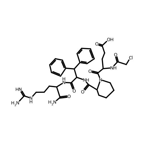 N=C(N)NCCCC(NC(=O)C(NC(=O)C1CCCCN1C(=O)C(CCC(=O)O)NC(=O)CCl)C(c1ccccc1)c1ccccc1)C(N)=O